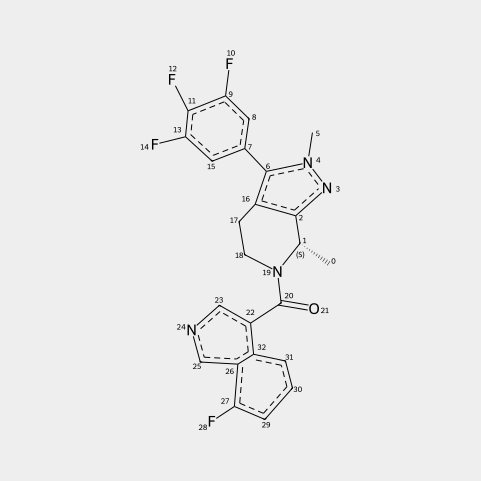 C[C@H]1c2nn(C)c(-c3cc(F)c(F)c(F)c3)c2CCN1C(=O)c1cncc2c(F)cccc12